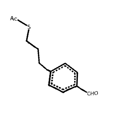 CC(=O)SCCCc1ccc(C=O)cc1